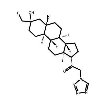 C[C@]12CC[C@H]3[C@@H](CC[C@H]4C[C@@](O)(CF)CC[C@@H]43)[C@@H]1CC[C@@H]2C(=O)Cn1cnnn1